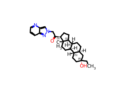 CC[C@@]1(O)CC[C@H]2[C@@H](CC[C@@H]3[C@@H]2CC[C@]2(C)[C@@H](C(=O)Cn4cc5ncccc5n4)CC[C@@H]32)C1